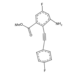 COC(=O)c1cc(F)cc(N)c1C#Cc1ccc(F)cc1